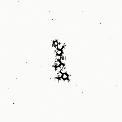 N#Cc1cc(NC(=O)c2cnn(Cc3ccc(F)cc3C(F)(F)F)c2C(F)(F)F)cnc1-n1nccn1